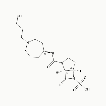 O=C(N[C@H]1CCCN(CCCO)CC1)N1CC[C@@H]2[C@H]1C(=O)N2S(=O)(=O)O